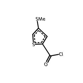 CSc1csc(C(=O)Cl)c1